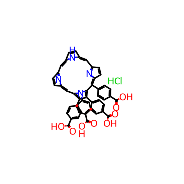 Cl.O=C(O)c1ccc(-c2c(-c3ccc(C(=O)O)cc3)c3c(-c4ccc(C(=O)O)cc4)c4nc(cc5ccc(cc6nc(cc2n3-c2ccc(C(=O)O)cc2)C=C6)[nH]5)C=C4)cc1